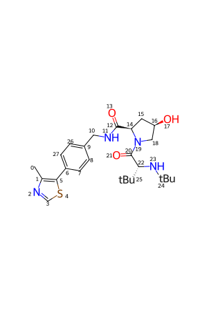 Cc1ncsc1-c1ccc(CNC(=O)[C@H]2C[C@@H](O)CN2C(=O)[C@H](NC(C)(C)C)C(C)(C)C)cc1